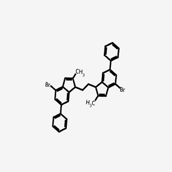 CC1=Cc2c(Br)cc(-c3ccccc3)cc2C1CCC1C(C)=Cc2c(Br)cc(-c3ccccc3)cc21